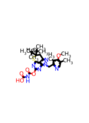 COc1c(C)cnc(Cn2nc3c4c(nc(OC(=O)NC(=O)O)nc42)SC(C(C)(C)C)(C(C)(C)C)C3)c1C